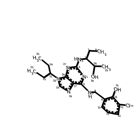 CCC(Nc1nc(NCc2cccc(Cl)c2O)c2ncn(C(CC)CC)c2n1)C(C)O